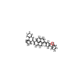 c1ccc2c(c1)cc(-c1ccc3ccc4c(-c5ccc6c(c5)oc5ccccc56)ccc5ccc1c3c54)c1ccccc12